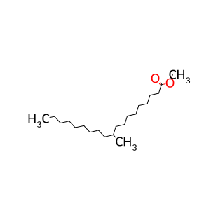 CCCCCCCCCC(C)CCCCCCCCC(=O)OC